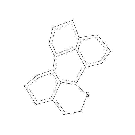 C1=c2cccc3c2c(c2cccc4cccc3c42)SC1